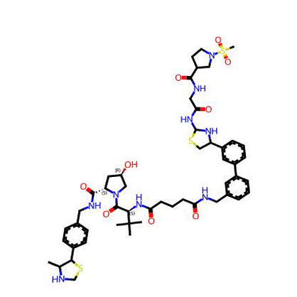 CC1NCSC1c1ccc(CNC(=O)[C@@H]2C[C@@H](O)CN2C(=O)[C@@H](NC(=O)CCCC(=O)NCc2cccc(-c3cccc(C4CSC(NC(=O)CNC(=O)C5CCN(S(C)(=O)=O)C5)N4)c3)c2)C(C)(C)C)cc1